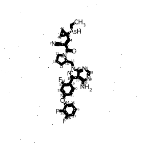 CC[AsH]C1(C=C(C#N)C(=O)N2CCCC2Cn2nc(-c3ccc(Oc4cccc(F)c4F)cc3F)c3c(N)ncnc32)CC1